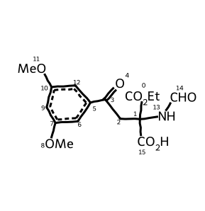 CCOC(=O)C(CC(=O)c1cc(OC)cc(OC)c1)(NC=O)C(=O)O